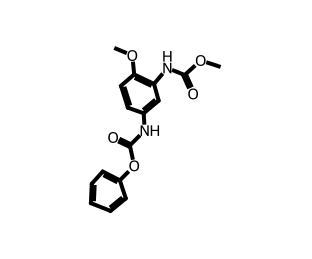 COC(=O)Nc1cc(NC(=O)Oc2ccccc2)ccc1OC